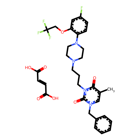 Cc1cn(Cc2ccccc2)c(=O)n(CCCN2CCN(c3ccc(F)cc3OCC(F)(F)F)CC2)c1=O.O=C(O)C=CC(=O)O